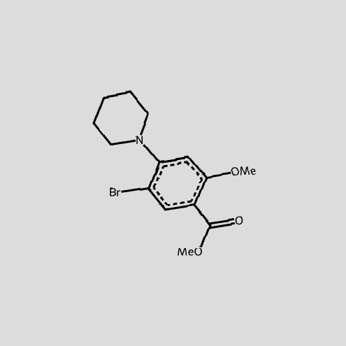 COC(=O)c1cc(Br)c(N2CCCCC2)cc1OC